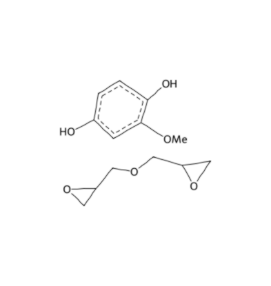 C(OCC1CO1)C1CO1.COc1cc(O)ccc1O